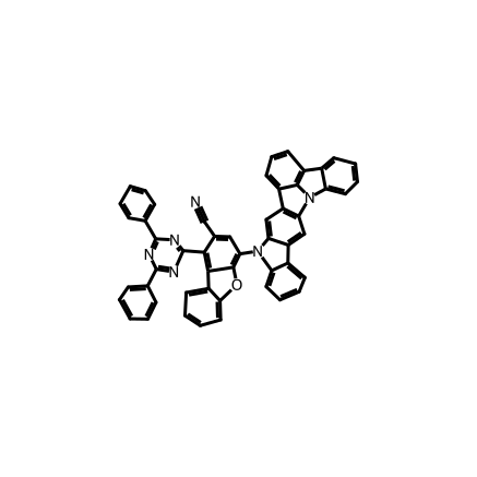 N#Cc1cc(-n2c3ccccc3c3cc4c(cc32)c2cccc3c5ccccc5n4c32)c2oc3ccccc3c2c1-c1nc(-c2ccccc2)nc(-c2ccccc2)n1